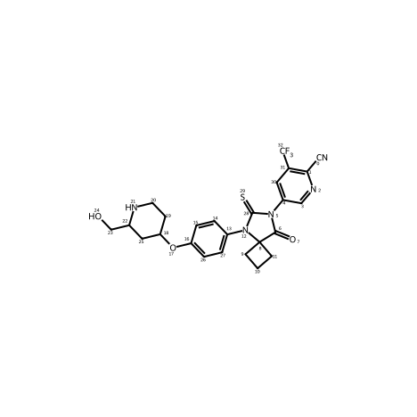 N#Cc1ncc(N2C(=O)C3(CCC3)N(c3ccc(OC4CCNC(CO)C4)cc3)C2=S)cc1C(F)(F)F